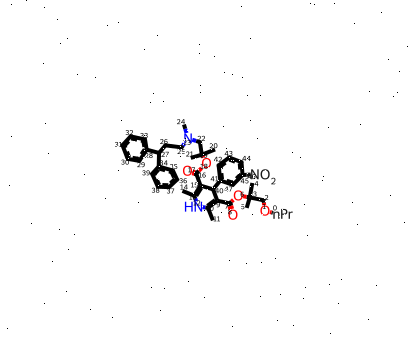 CCCOCC(C)(C)OC(=O)C1=C(C)NC(C)=C(C(=O)OC(C)(C)CN(C)CCC(c2ccccc2)c2ccccc2)C1c1cccc([N+](=O)[O-])c1